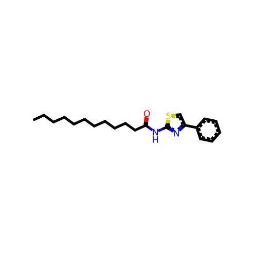 CCCCCCCCCCCC(=O)Nc1nc(-c2ccccc2)cs1